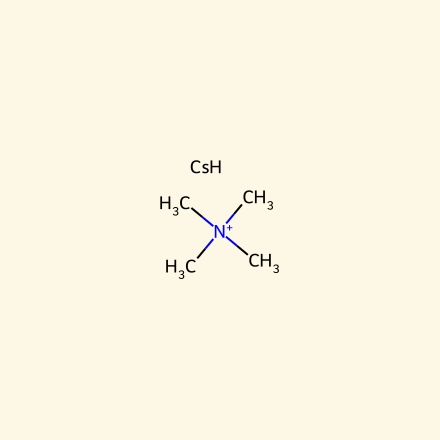 C[N+](C)(C)C.[CsH]